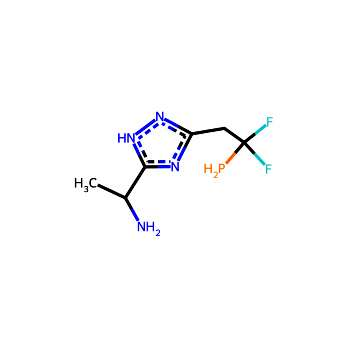 CC(N)c1nc(CC(F)(F)P)n[nH]1